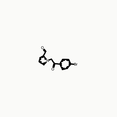 O=Cc1cccn1CC(=O)c1ccc(Br)cc1